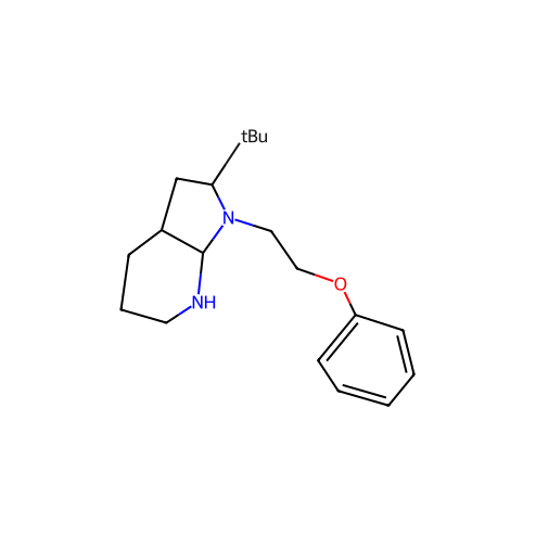 CC(C)(C)C1CC2CCCNC2N1CCOc1ccccc1